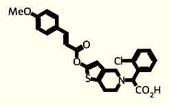 COc1ccc(/C=C/C(=O)Oc2cc3c(s2)CCN(C(C(=O)O)c2ccccc2Cl)C3)cc1